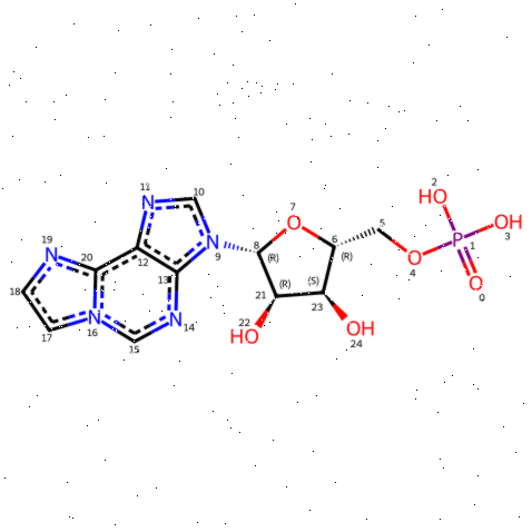 O=P(O)(O)OC[C@H]1O[C@@H](n2cnc3c2ncn2ccnc32)[C@H](O)[C@@H]1O